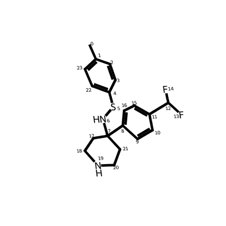 Cc1ccc(SNC2(c3ccc(C(F)F)cc3)CCNCC2)cc1